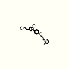 CC1CCCN1CCCOc1ccc(N2CC(CCCl)CC2=O)cc1